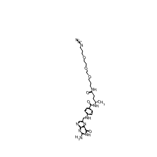 C[C@H](CCC(=O)NCCCOCCOCCOCCCN=[N+]=[N-])NC(=O)c1ccc(NCc2cnc3nc(N)[nH]c(=O)c3n2)cc1